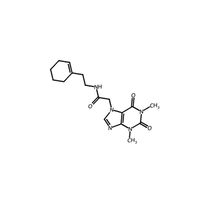 Cn1c(=O)c2c(ncn2CC(=O)NCCC2=CCCCC2)n(C)c1=O